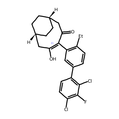 CCc1ccc(-c2ccc(Cl)c(F)c2Cl)cc1/C1=C(\O)C[C@H]2CC[C@H](CC2)CC1=O